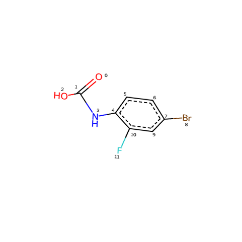 O=C(O)Nc1ccc(Br)cc1F